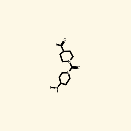 O=C(I)C1CCN(C(=O)N2CCC(NI)CC2)CC1